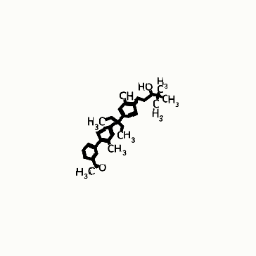 CCC(CC)(c1ccc(CCC(O)C(C)(C)C)c(C)c1)c1ccc(-c2cccc(C(C)=O)c2)c(C)c1